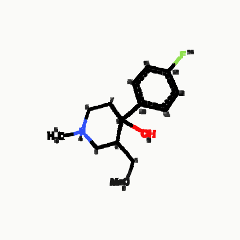 COCC1CN(C)CCC1(O)c1ccc(F)cc1